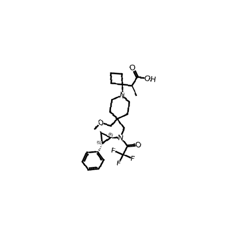 COCC1(CN(C(=O)C(F)(F)F)[C@@H]2C[C@H]2c2ccccc2)CCN(C2(C(C)C(=O)O)CCC2)CC1